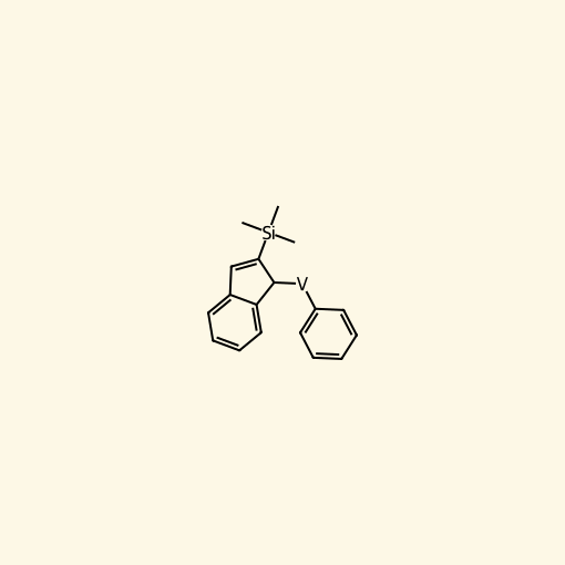 C[Si](C)(C)C1=Cc2ccccc2[CH]1[V][c]1ccccc1